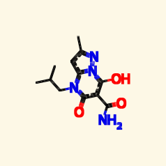 Cc1cc2n(CC(C)C)c(=O)c(C(N)=O)c(O)n2n1